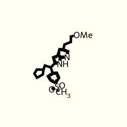 COCCCc1cnc2[nH]c(C(CC3CCCC3)c3ccc(S(C)(=O)=O)cc3)cc2c1